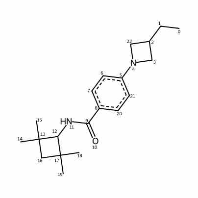 CCC1CN(c2ccc(C(=O)NC3C(C)(C)CC3(C)C)cc2)C1